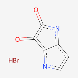 Br.O=c1nc2ccnc-2c1=O